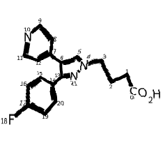 O=C(O)CCCn1cc(-c2ccncc2)c(-c2ccc(F)cc2)n1